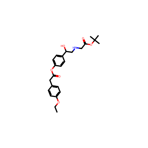 CCOc1ccc(CC(=O)Oc2ccc(C(O)CNCC(=O)OC(C)(C)C)cc2)cc1